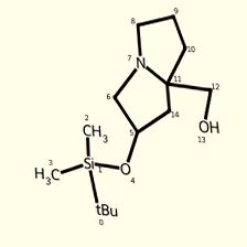 CC(C)(C)[Si](C)(C)OC1CN2CCCC2(CO)C1